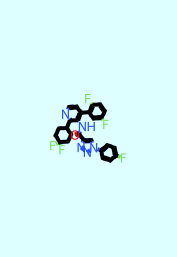 O=C(Nc1c(-c2cc(F)ccc2F)ccnc1C1CCC(F)(F)CC1)c1cn(-c2ccc(F)cc2)nn1